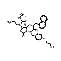 C=CCN(C(=O)NC)N1CC(=O)N2[C@@H](Cc3ccc(OCCO)cc3)C(=O)N(Cc3cccc4ccccc34)C[C@@H]21